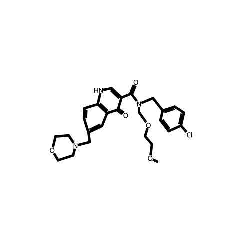 COCCOCN(Cc1ccc(Cl)cc1)C(=O)c1c[nH]c2ccc(CN3CCOCC3)cc2c1=O